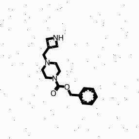 O=C(OCc1ccccc1)N1CCN(CC2CNC2)CC1